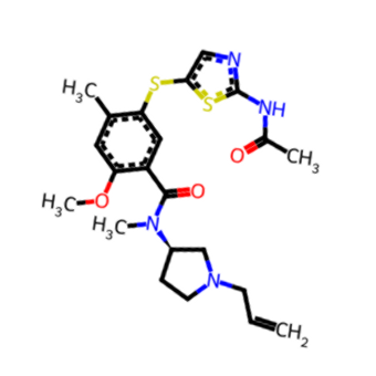 C=CCN1CC[C@@H](N(C)C(=O)c2cc(Sc3cnc(NC(C)=O)s3)c(C)cc2OC)C1